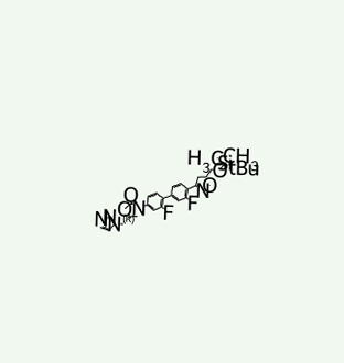 CC(C)(C)[Si](C)(C)OCC1CC(c2ccc(-c3ccc(N4C[C@H](Cn5ccnn5)OC4=O)cc3F)cc2F)=NO1